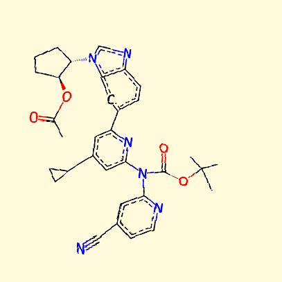 CC(=O)O[C@H]1CCC[C@@H]1n1cnc2ccc(-c3cc(C4CC4)cc(N(C(=O)OC(C)(C)C)c4cc(C#N)ccn4)n3)cc21